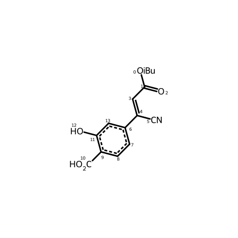 CC(C)COC(=O)C=C(C#N)c1ccc(C(=O)O)c(O)c1